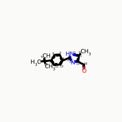 Cc1[nH]c(-c2ccc(C(C)(C)C)cc2)nc1C=O